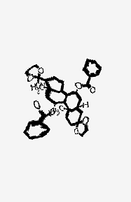 CC1(C2CCC3C4C([C@H](OC(=O)c5ccccc5)C[C@@]32C)[C@@]2(C)CCC3(C[C@H]2C[C@H]4OC(=O)c2ccccc2)OCCO3)OCCO1